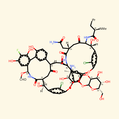 CN[C@H](CC(C)C)C(=O)NC1C(=O)C[C@@H](CC(N)=O)C(=O)N[C@H]2C(=O)C[C@H]3C(=O)C[C@H](C(=O)N[C@@H](OC=O)c4cc(O)c(F)c(O)c4-c4cc3ccc4O)[C@H](O)c3ccc(c(Cl)c3)Oc3cc2cc(c3OC2O[C@@H](CO)[C@@H](O)[C@H](O)[C@@H]2O[C@@H]2C[C@](C)(N)[C@H](O)[C@@H](C)O2)Oc2ccc(cc2Cl)[C@H]1O